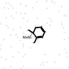 CN[C@]1(C)CC=CC=C1C